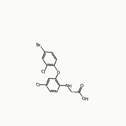 O=C(O)CNc1ccc(Cl)cc1Oc1ccc(Br)cc1Cl